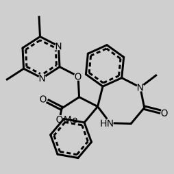 COC(=O)C(Oc1nc(C)cc(C)n1)C1(c2ccccc2)NCC(=O)N(C)c2ccccc21